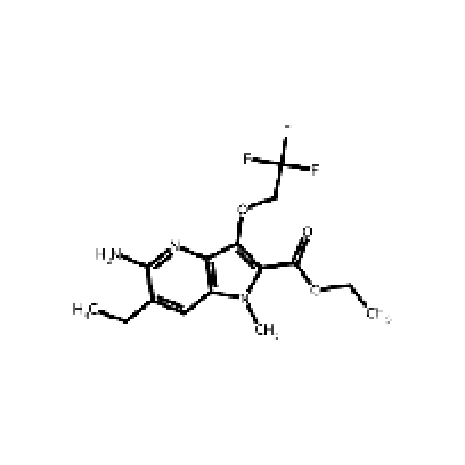 CCOC(=O)c1c(OCC(F)(F)F)c2nc(N)c(CC)cc2n1C